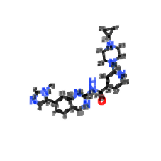 Cn1cncc1-c1ccc2cnc(NC(=O)c3ccnc(N4CCN(C5CC5)CC4)c3)nc2c1